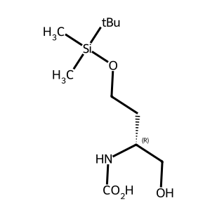 CC(C)(C)[Si](C)(C)OCC[C@H](CO)NC(=O)O